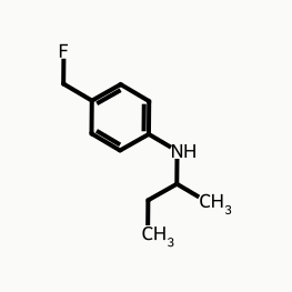 CCC(C)Nc1ccc(CF)cc1